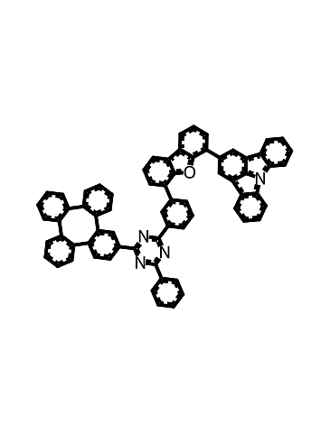 c1ccc(-c2nc(-c3cccc(-c4cccc5c4oc4c(-c6cc7c8ccccc8n8c9ccccc9c(c6)c78)cccc45)c3)nc(-c3ccc4c(c3)-c3ccccc3-c3ccccc3-c3ccccc3-4)n2)cc1